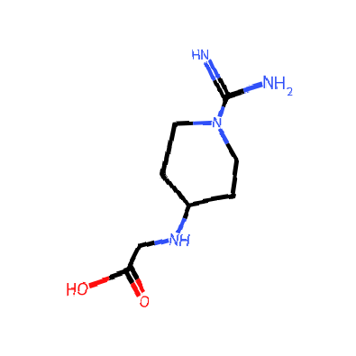 N=C(N)N1CCC(NCC(=O)O)CC1